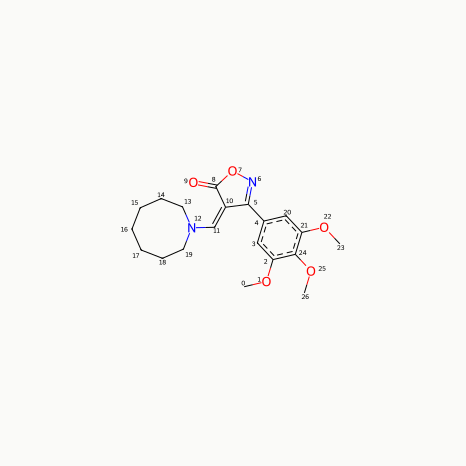 COc1cc(C2=NOC(=O)/C2=C\N2CCCCCCC2)cc(OC)c1OC